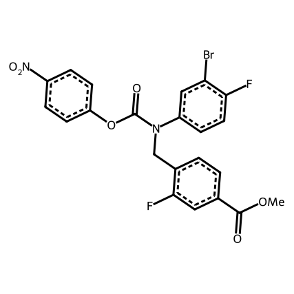 COC(=O)c1ccc(CN(C(=O)Oc2ccc([N+](=O)[O-])cc2)c2ccc(F)c(Br)c2)c(F)c1